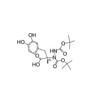 CC(C)(C)OC(=O)NN(C(=O)OC(C)(C)C)[C@@](C)(Cc1ccc(O)c(O)c1)C(=O)O